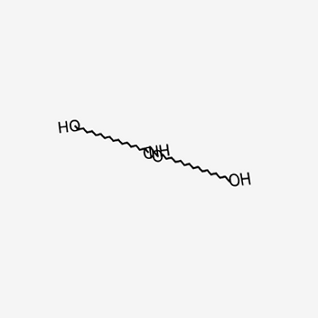 OCCCCCCCCCCCCCCCCONOCCCCCCCCCCCCCCCCO